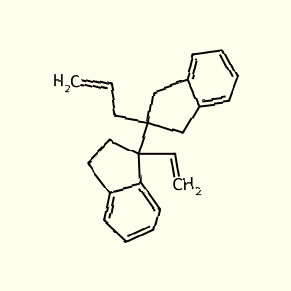 C=CCC1(C2(C=C)CCc3ccccc32)Cc2ccccc2C1